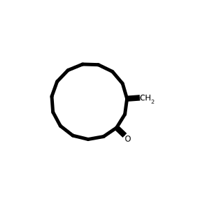 C=C1CCCCCCCCCCCCC(=O)C1